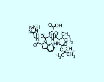 CC(C)C(NC(=O)OC(C)(C)C)C(=O)NC(CCC(=O)O)C(=O)N1c2ncccc2CC1C(=O)NCc1nn[nH]n1